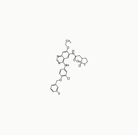 CCOc1cc2ncnc(Nc3ccc(OCc4cccc(F)c4)c(Cl)c3)c2cc1NC(=O)CC1CCSS1(=O)=O